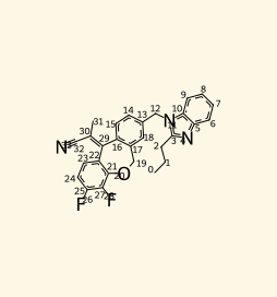 CCCc1nc2ccccc2n1Cc1ccc2c(c1)COc1c(ccc(F)c1F)C2=C(C)C#N